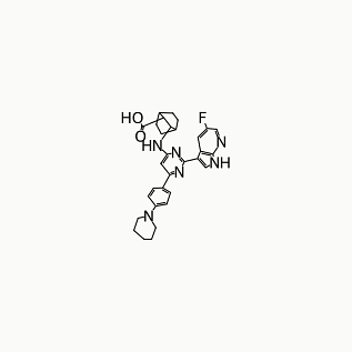 O=C(O)C1C2CCC(CC2)C1Nc1cc(-c2ccc(N3CCCCC3)cc2)nc(-c2c[nH]c3ncc(F)cc23)n1